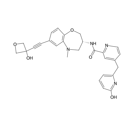 CN1C[C@@H](NC(=O)c2cc(Cc3cccc(O)n3)ccn2)COc2ccc(C#CC3(O)COC3)cc21